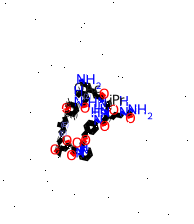 CC(=O)O[C@@H](C)/C=C\C(=O)N[C@@H]1C[C@H](C)[C@H](C/C=C(C)/C=C/[C@@H]2C[C@]3(CO3)C[C@@H](CC(=O)N3CCCCN3C(=O)OCc3ccc(NC(=O)[C@H](CCCNC(N)=O)NC(=O)[C@@H](NC(=O)CCCCCN)C(C)C)cc3)O2)O[C@@H]1C